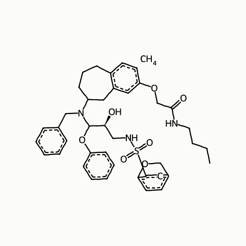 C.CCCCNC(=O)COc1ccc2c(c1)CC(N(Cc1ccccc1)C(Oc1ccccc1)[C@@H](O)CNS(=O)(=O)c1cc3ccc1OC3)CCC2